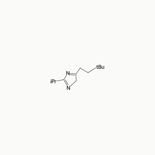 CC(C)C1=NCC(CCC(C)(C)C)=N1